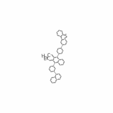 C/C=c1/c(-c2ccc(-c3ccc4sc5ccccc5c4c3)cc2)c2ccccc2c(-c2cccc(-c3cccc4ccccc34)c2)/c1=C/CC